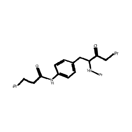 CC(C)CCC(=O)Nc1ccc(CC(NC(C)C)C(=O)CC(C)C)cc1